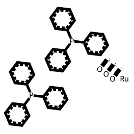 [C]=O.[C]=O.[C]=O.[Ru].c1ccc(P(c2ccccc2)c2ccccc2)cc1.c1ccc(P(c2ccccc2)c2ccccc2)cc1